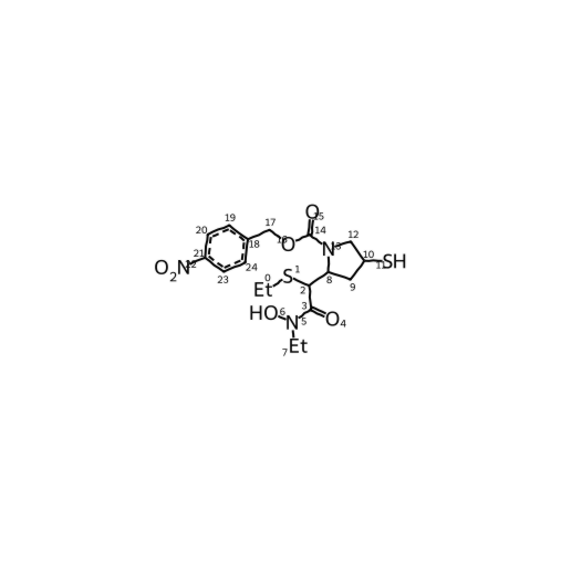 CCSC(C(=O)N(O)CC)C1CC(S)CN1C(=O)OCc1ccc([N+](=O)[O-])cc1